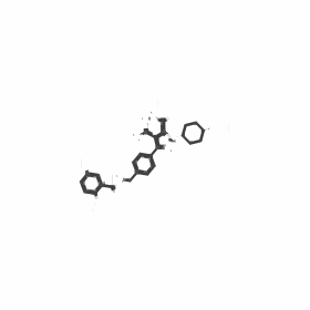 COc1ccc(F)cc1C(=O)NCc1ccc(-c2nn([C@H]3CC[C@H](O)CC3)c3c(=O)[nH]nc(N)c23)cc1